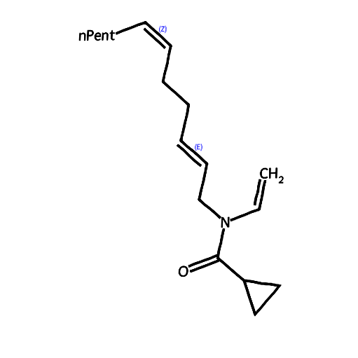 C=CN(C/C=C/CC/C=C\CCCCC)C(=O)C1CC1